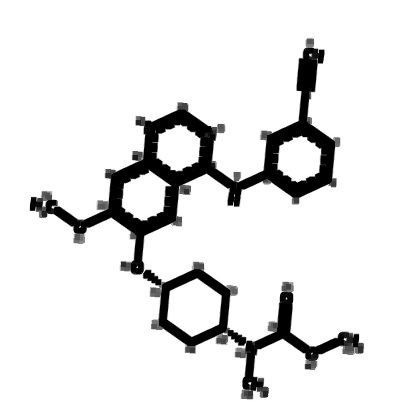 C#Cc1cccc(Nc2ncnc3cc(OC)c(O[C@H]4CC[C@@H](N(C)C(=O)OC)CC4)cc23)c1